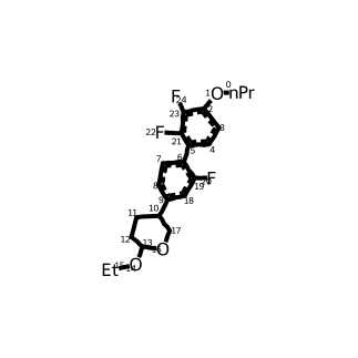 CCCOc1ccc(-c2ccc(C3CCC(OCC)OC3)cc2F)c(F)c1F